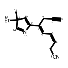 C#CC/C(=C\C=C/CC#N)C1=CC(C)(CC)C=N1